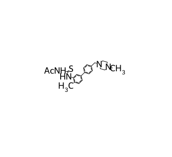 CC(=O)NC(=S)Nc1cc(-c2ccc(CN3CCN(C)CC3)cc2)ccc1C